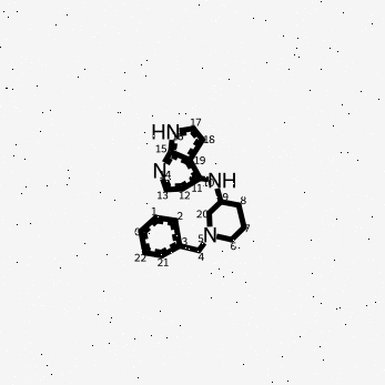 c1ccc(CN2CCCC(Nc3ccnc4[nH]ccc34)C2)cc1